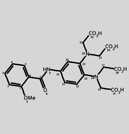 COc1ccccc1C(=O)Nc1ccc(N(CC(=O)O)CC(=O)O)c(N(CC(=O)O)CC(=O)O)c1